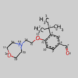 CC(C)(C)c1cc(C=O)ccc1OCCN1CCOCC1